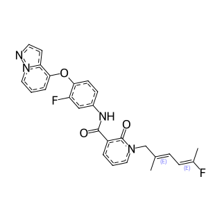 C/C(F)=C\C=C(/C)Cn1cccc(C(=O)Nc2ccc(Oc3cccn4nccc34)c(F)c2)c1=O